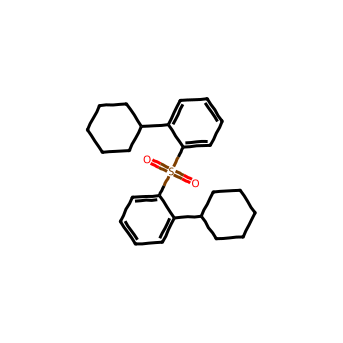 O=S(=O)(c1ccccc1C1CCCCC1)c1ccccc1C1CCCCC1